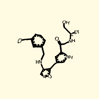 CC[C@H](CO)NC(=O)c1cc(-c2oncc2NCc2cccc(Cl)c2)c[nH]1